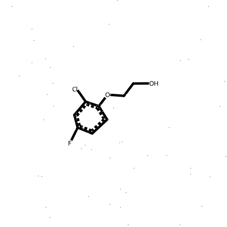 OCCOc1ccc(F)cc1Cl